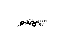 CCOC(Cc1cccc2c1ccn2Cc1nc(-c2cccc(Cl)c2)oc1C)C(=O)O